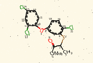 COC(=O)C(C)Sc1cc(Oc2ccc(Cl)cc2Cl)ccc1Cl